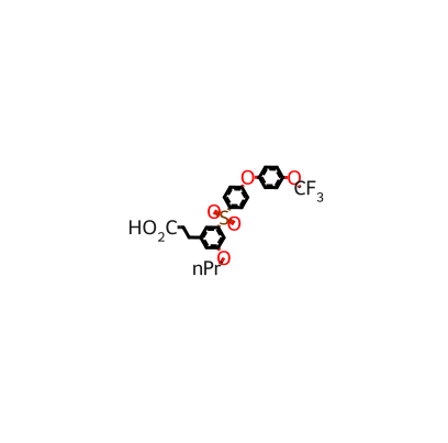 CCCOc1cc(CCC(=O)O)cc(S(=O)(=O)c2ccc(Oc3ccc(OC(F)(F)F)cc3)cc2)c1